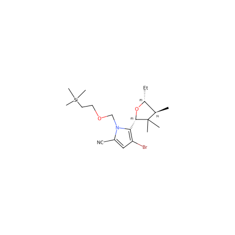 CC[C@H]1O[C@@H](c2c(Br)cc(C#N)n2COCC[Si](C)(C)C)C(C)(C)[C@@H]1C